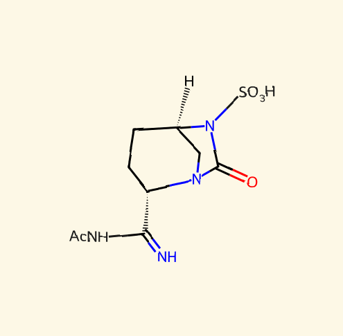 CC(=O)NC(=N)[C@@H]1CC[C@@H]2CN1C(=O)N2S(=O)(=O)O